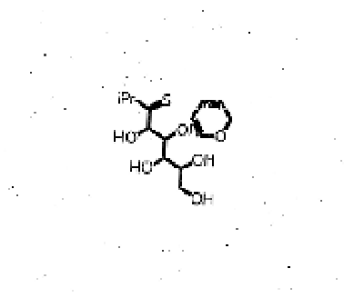 C1=CCOC=C1.CC(C)C(=S)C(O)C(O)C(O)C(O)CO